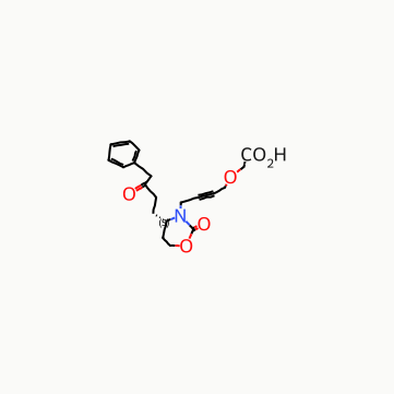 O=C(O)COCC#CCN1C(=O)OCC[C@@H]1CCC(=O)Cc1ccccc1